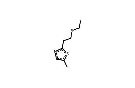 CCSCCc1ncc(C)s1